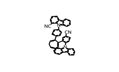 N#Cc1ccc(-n2c3ccccc3c3ccccc32)c(C2=CC=CCC=C2c2ccc(-n3c4ccccc4c4cccc(C#N)c43)cc2)c1